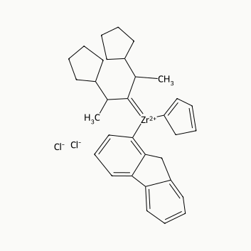 CC([C](C(C)C1CCCC1)=[Zr+2]([C]1=CC=CC1)[c]1cccc2c1Cc1ccccc1-2)C1CCCC1.[Cl-].[Cl-]